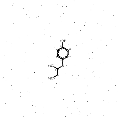 OCC(O)Cc1ccc(O)cn1